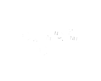 NC(=O)c1cn(C[C@@H](O)CCCc2ccccc2OCc2ccccc2)cn1